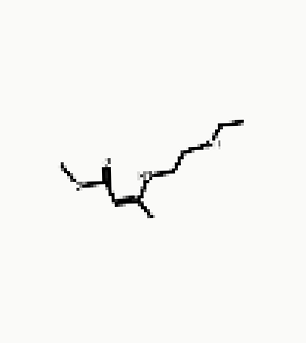 CCNCCN/C(C)=C\C(=O)OC